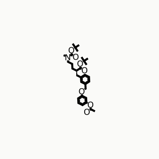 CC(=O)Oc1cccc(OCc2cccc(C[C@@H](CCCN(C)C(=O)OC(C)(C)C)C(=O)OC(C)(C)C)c2)c1